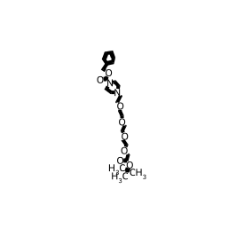 CC(C)(C)OC(=O)COCCOCCOCCOCCN1CCN(C(=O)OCc2ccccc2)CC1